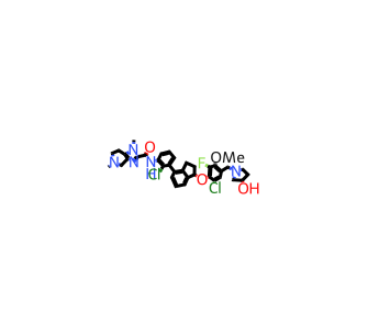 COc1c(CN2CCC(O)C2)cc(Cl)c(OC2CCc3c(-c4cccc(NC(=O)c5nc6c(n5C)CCN(C)C6)c4Cl)cccc32)c1F